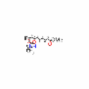 COC(=O)CCCCCC(CC(C)C)OC(=O)NCC(F)(F)F